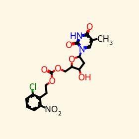 Cc1cn(C2CC(O)C(COC(=O)OCCc3c(Cl)cccc3[N+](=O)[O-])O2)c(=O)[nH]c1=O